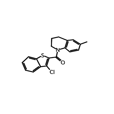 Cc1ccc2c(c1)CCCN2C(=O)c1sc2ccccc2c1Cl